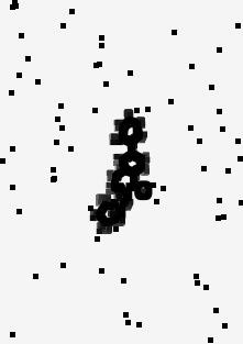 O=C1c2ccc(-c3ccccc3)cc2CCN1CN1CCCC1